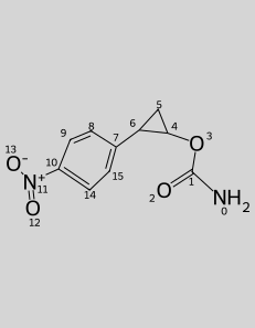 NC(=O)OC1CC1c1ccc([N+](=O)[O-])cc1